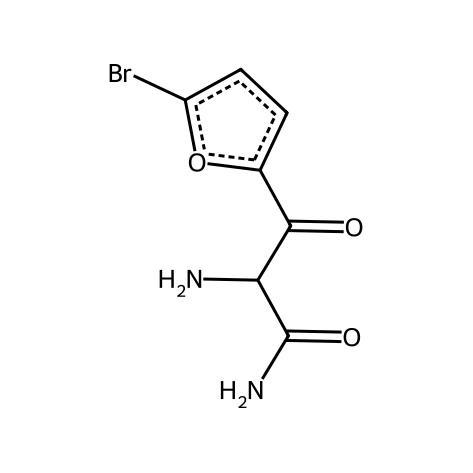 NC(=O)C(N)C(=O)c1ccc(Br)o1